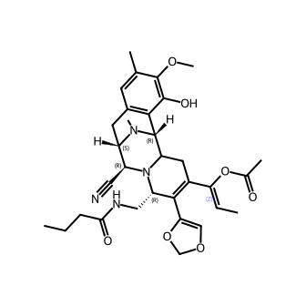 C/C=C(\OC(C)=O)C1=C(C2=COCO2)[C@H](CNC(=O)CCC)N2C(C1)[C@H]1c3c(cc(C)c(OC)c3O)C[C@@H]([C@@H]2C#N)N1C